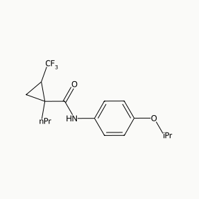 CCCC1(C(=O)Nc2ccc(OC(C)C)cc2)CC1C(F)(F)F